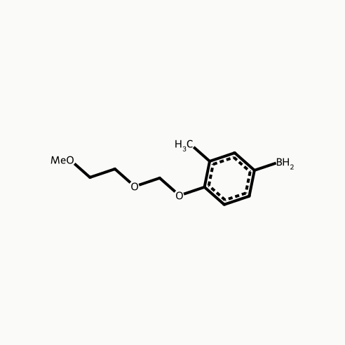 Bc1ccc(OCOCCOC)c(C)c1